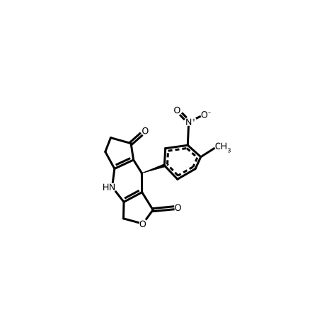 Cc1ccc([C@@H]2C3=C(CCC3=O)NC3=C2C(=O)OC3)cc1[N+](=O)[O-]